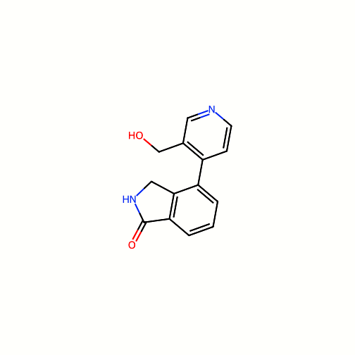 O=C1NCc2c1cccc2-c1ccncc1CO